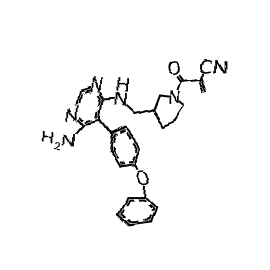 C=C(C#N)C(=O)N1CCCC(CNc2ncnc(N)c2-c2ccc(Oc3ccccc3)cc2)C1